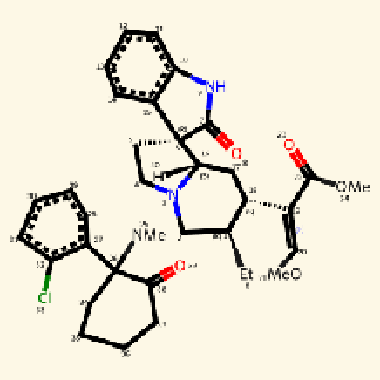 CC[C@H]1CN2CC[C@]3(C(=O)Nc4ccccc43)[C@@H]2C[C@@H]1/C(=C\OC)C(=O)OC.CNC1(c2ccccc2Cl)CCCCC1=O